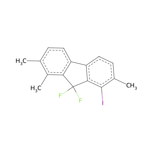 Cc1ccc2c(c1C)C(F)(F)c1c-2ccc(C)c1I